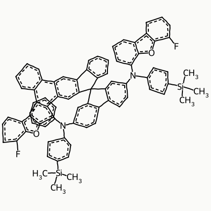 C[Si](C)(C)c1ccc(N(c2ccc3c(c2)C2(c4ccccc4-c4cc5c6ccccc6c6ccccc6c5cc42)c2cc(N(c4ccc([Si](C)(C)C)cc4)c4cccc5c4oc4c(F)cccc45)ccc2-3)c2cccc3c2oc2c(F)cccc23)cc1